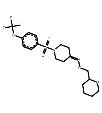 O=S(=O)(c1ccc(OC(F)(F)F)cc1)N1CCC(=NOCC2CCCCO2)CC1